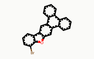 Brc1cccc2c1oc1cc3c4ccccc4c4ccccc4c3cc12